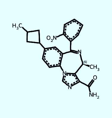 CC1CC(c2ccc3c(c2)C(c2ccccc2[N+](=O)[O-])=N[C@@H](C)c2c(C(N)=O)ncn2-3)C1